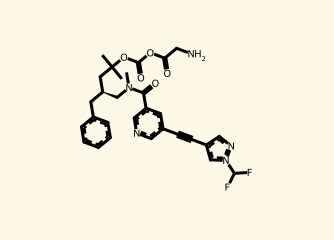 CN(C[C@@H](Cc1ccccc1)CC(C)(C)OC(=O)OC(=O)CN)C(=O)c1cncc(C#Cc2cnn(C(F)F)c2)c1